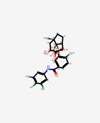 O=C(Nc1cc(F)c(F)c(F)c1)c1ccc(Cl)c(S(=O)(=O)[C@H]2C3CC[C@H]2CC(O)C(O)C3)c1